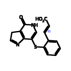 O=C(O)/C=C/c1ccccc1Sc1c[nH]c(=O)c2c1N=CC2